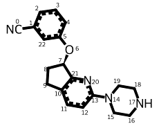 N#Cc1cccc(O[C@@H]2CCc3ccc(N4CCNCC4)nc32)c1